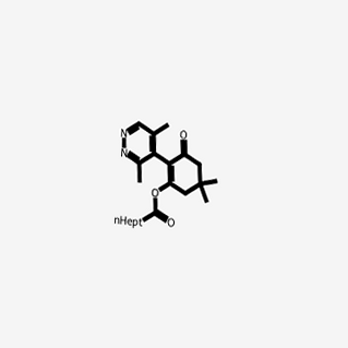 CCCCCCCC(=O)OC1=C(c2c(C)cnnc2C)C(=O)CC(C)(C)C1